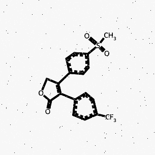 CS(=O)(=O)c1ccc(C2=C(c3ccc(C(F)(F)F)cc3)C(=O)OC2)cc1